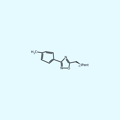 CCC[C@H](C)Cc1nc(-c2ccc(C)cc2)no1